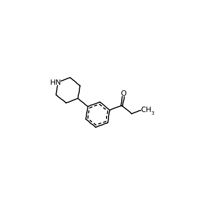 CCC(=O)c1cccc(C2CCNCC2)c1